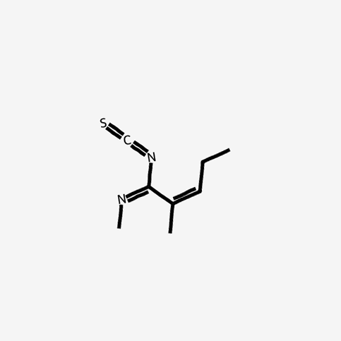 CC/C=C(C)\C(N=C=S)=N/C